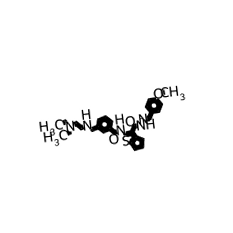 CCN(CC)CCNCc1cccc(C(=O)Nc2sc3c(c2C(=O)N/N=C/c2ccc(OC)cc2)CCC3)c1